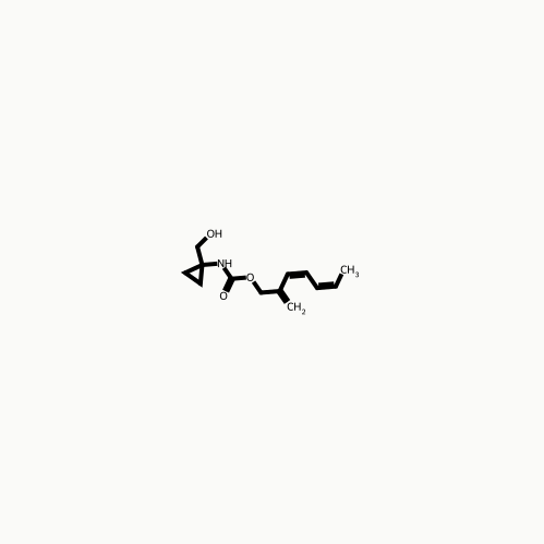 C=C(/C=C\C=C/C)COC(=O)NC1(CO)CC1